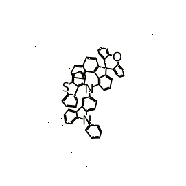 c1ccc(-n2c3ccccc3c3cc(N(c4cccc5c4-c4c(ccc6ccccc46)C54c5ccccc5Oc5ccccc54)c4cccc5sc6ccccc6c45)ccc32)cc1